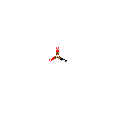 O=S(=O)=[Te]